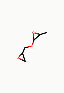 CC1OC1OCC1CO1